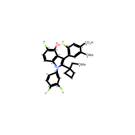 COCC1(c2c(-c3cc(OC)c(C(=O)O)cc3F)c3c(O)c(F)ccc3n2-c2ccc(F)c(F)c2)CCC1